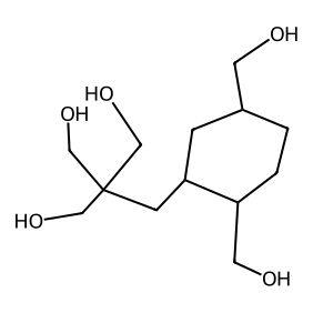 OCC1CCC(CO)C(CC(CO)(CO)CO)C1